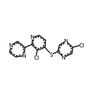 Clc1cnc(Sc2ccnc(-c3cnccn3)c2Cl)cn1